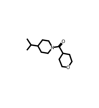 CC(C)C1CCN(C(=O)C2CCOCC2)CC1